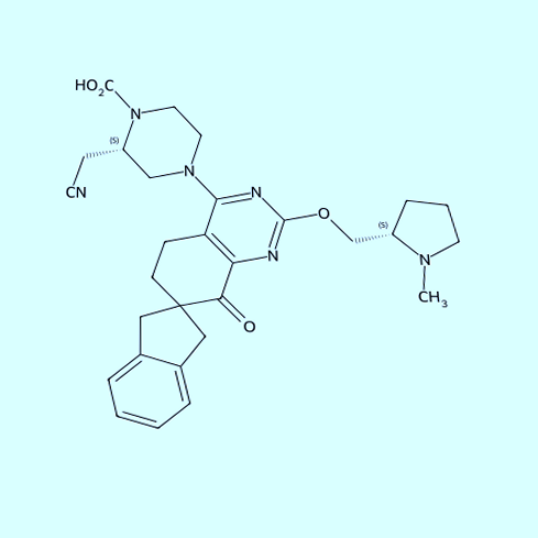 CN1CCC[C@H]1COc1nc2c(c(N3CCN(C(=O)O)[C@@H](CC#N)C3)n1)CCC1(Cc3ccccc3C1)C2=O